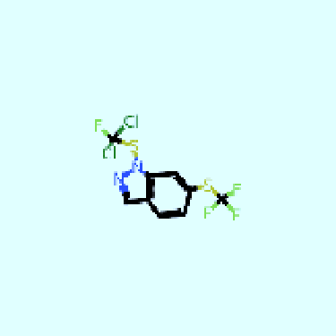 FC(F)(F)Sc1ccc2cnn(SC(F)(Cl)Cl)c2c1